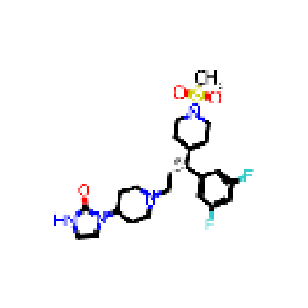 CS(=O)(=O)N1CCC([C@@H](CCN2CCC(N3CCNC3=O)CC2)c2cc(F)cc(F)c2)CC1